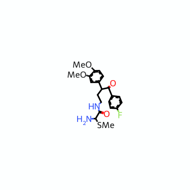 COc1ccc(C(CCNC(=O)C(N)SC)C(=O)c2ccc(F)cc2)cc1OC